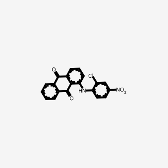 O=C1c2ccccc2C(=O)c2c(Nc3ccc([N+](=O)[O-])cc3Cl)cccc21